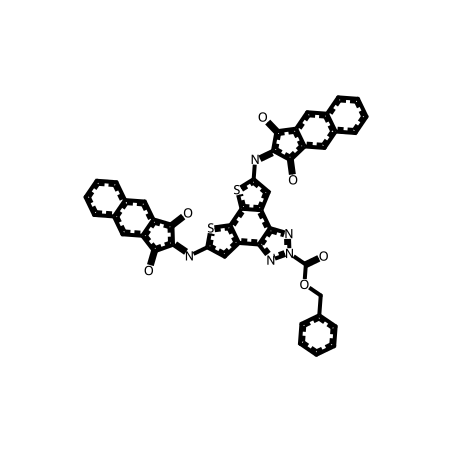 O=C(OCc1ccccc1)n1nc2c3cc(N=c4c(=O)c5cc6ccccc6cc5c4=O)sc3c3sc(N=c4c(=O)c5cc6ccccc6cc5c4=O)cc3c2n1